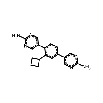 Nc1ncc(-c2ccc(-c3cnc(N)nc3)c(C3C[CH]C3)c2)cn1